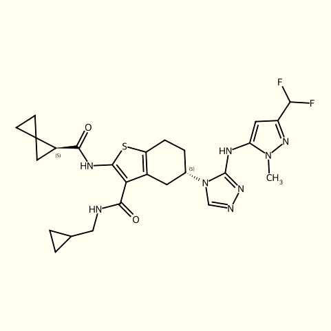 Cn1nc(C(F)F)cc1Nc1nncn1[C@H]1CCc2sc(NC(=O)[C@H]3CC34CC4)c(C(=O)NCC3CC3)c2C1